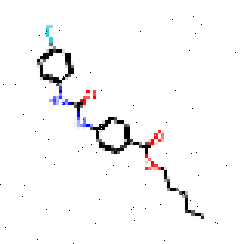 CCCCCOC(=O)c1ccc(NC(=O)Nc2ccc(F)cc2)cc1